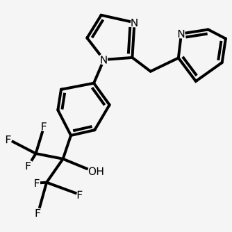 OC(c1ccc(-n2ccnc2Cc2ccccn2)cc1)(C(F)(F)F)C(F)(F)F